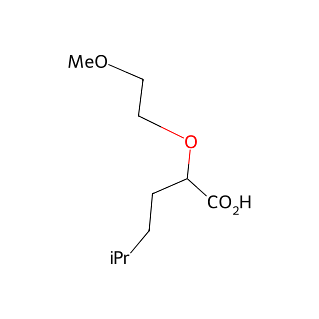 COCCOC(CCC(C)C)C(=O)O